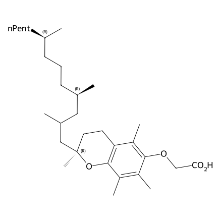 CCCCC[C@@H](C)CCC[C@@H](C)CC(C)C[C@@]1(C)CCc2c(C)c(OCC(=O)O)c(C)c(C)c2O1